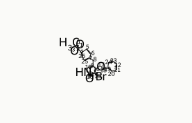 COC(=O)c1ccc(Cc2c[nH]c(=O)c(Br)c2OCc2ccccc2)cc1